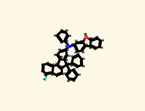 Fc1cccc2c3c(ccc12)C(c1ccccc1)(c1ccccc1)c1cc(N(c2ccccc2)c2ccc4c(c2)oc2ccccc24)ccc1-3